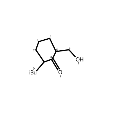 CCC(C)C1CCCC(CO)C1=O